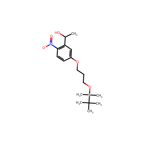 CC(O)c1cc(OCCCO[Si](C)(C)C(C)(C)C)ccc1[N+](=O)[O-]